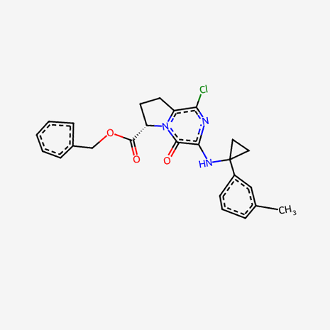 Cc1cccc(C2(Nc3nc(Cl)c4n(c3=O)[C@H](C(=O)OCc3ccccc3)CC4)CC2)c1